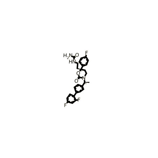 C[C@@H](c1ccc(-c2ccc(F)cc2F)cc1)N1CC[C@@](CCNC(N)=O)(c2ccc(F)cc2)OC1=O